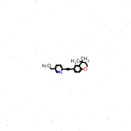 CC(=O)OCc1ccc(C#Cc2ccc3c(c2)C(C)(C)CCO3)nc1